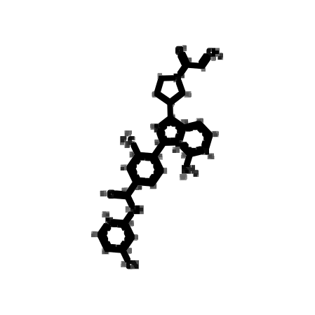 C=CC(=O)N1CCC(c2nc(-c3ccc(C(=O)Nc4cc(C#N)ccn4)cc3C(F)(F)F)n3c(N)nccc23)C1